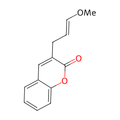 COC=CCc1cc2ccccc2oc1=O